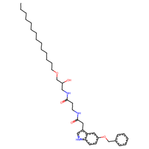 CCCCCCCCCCCCCCOCC(O)CNC(=O)CCNC(=O)Cc1c[nH]c2ccc(OCc3ccccc3)cc12